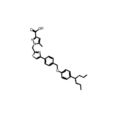 CCCC(CCC)c1ccc(OCc2ccc(-c3csc(Cn4nc(C(=O)O)cc4C)n3)cc2)cc1